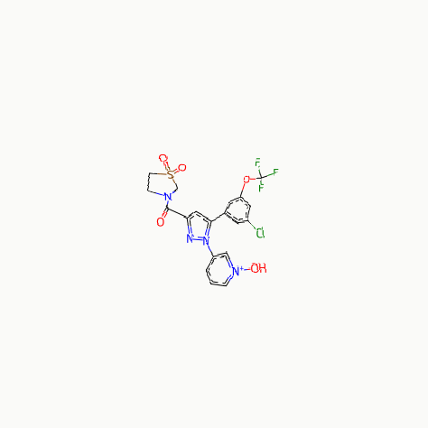 O=C(c1cc(-c2cc(Cl)cc(OC(F)(F)F)c2)n(-c2ccc[n+](O)c2)n1)N1CCS(=O)(=O)C1